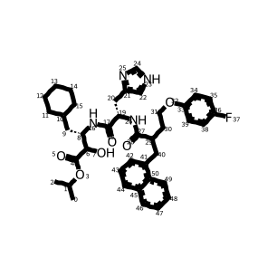 CC(C)OC(=O)C(O)[C@H](CC1CCCCC1)NC(=O)[C@H](Cc1c[nH]cn1)NC(=O)C(CCOc1ccc(F)cc1)Cc1cccc2ccccc12